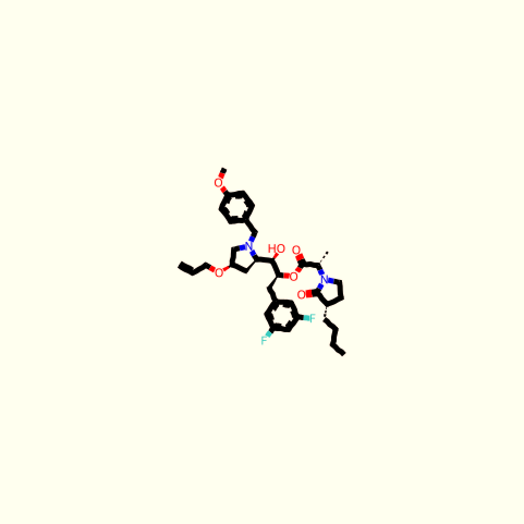 C=CCO[C@@H]1C[C@H]([C@@H](O)[C@H](Cc2cc(F)cc(F)c2)OC(=O)[C@H](C)N2CC[C@H](CCCC)C2=O)N(Cc2ccc(OC)cc2)C1